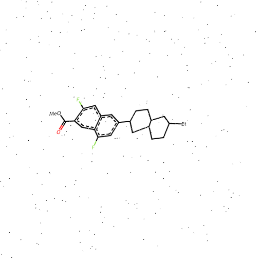 CCC1CCC2CC(c3cc(F)c4cc(C(=O)OC)c(F)cc4c3)CCC2C1